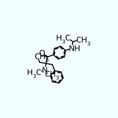 CCC(Cc1ccccc1)(C(=O)c1ccc(NC(C)C)cc1)N(C)C